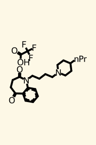 CCCC1CCN(CCCCN2C(=O)CCC(=O)c3ccccc32)CC1.O=C(O)C(F)(F)F